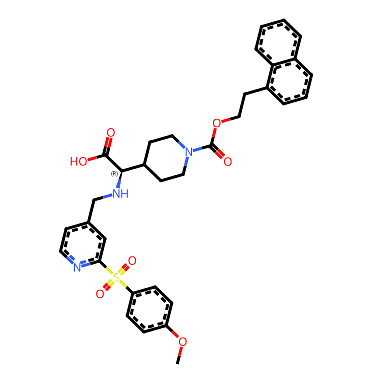 COc1ccc(S(=O)(=O)c2cc(CN[C@@H](C(=O)O)C3CCN(C(=O)OCCc4cccc5ccccc45)CC3)ccn2)cc1